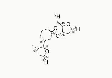 [2H]C[C@H]1O[C@@H]([3H])C[C@@H]1O[P@@]1(=O)CCC[C@@H]([C@H]2O[C@@H]([3H])C[C@@H]2C)C1